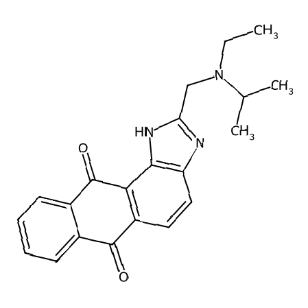 CCN(Cc1nc2ccc3c(c2[nH]1)C(=O)c1ccccc1C3=O)C(C)C